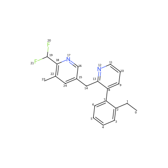 CCc1ccccc1-c1cccnc1Cc1cnc(C(F)F)c(C)c1